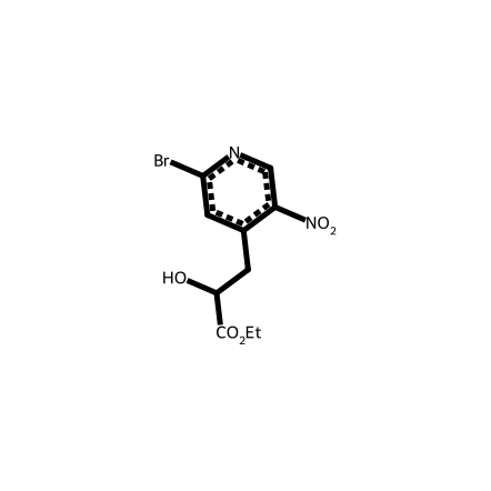 CCOC(=O)C(O)Cc1cc(Br)ncc1[N+](=O)[O-]